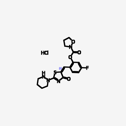 Cl.O=C1N=C(N2CCCCN2)S/C1=C/c1ccc(F)cc1OC(=O)N1CCCO1